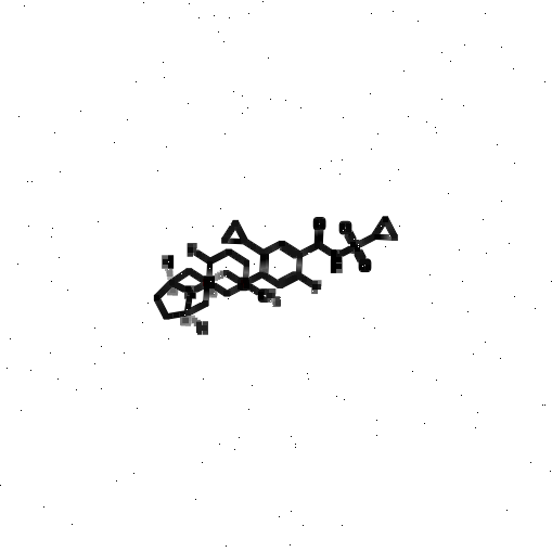 O=C(NS(=O)(=O)C1CC1)c1cc(C2CC2)c(OC[C@@H]2C[C@H]3CC[C@@H](C2)N3N2CC(C(F)(F)F)CCC2F)cc1F